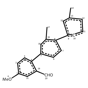 COc1ccc(-c2ccc(-c3cccc(C)c3)c(C)c2)c(C=O)c1